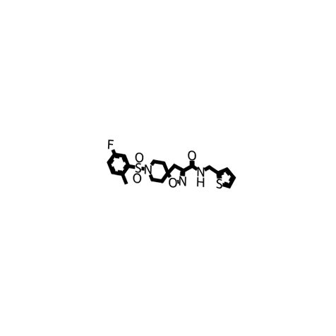 Cc1ccc(F)cc1S(=O)(=O)N1CCC2(CC1)CC(C(=O)NCc1cccs1)=NO2